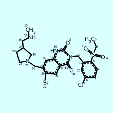 CCS(=O)(=O)c1ccc(Cl)cc1Cn1c(=O)[nH]c2cc(CN3CCC(CNC)C3)c(Br)cc2c1=O